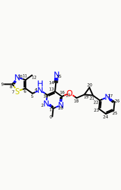 Cc1nc(NCc2sc(C)nc2C)c(C#N)c(OCC2CC2c2ccccn2)n1